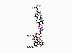 CCC(C/C=C(\C)[C@@H]1CCC2C3CC=C4C[C@H](OC(=O)NCCC(O)CCOC(c5ccccc5)(c5ccc(OC)cc5)c5ccc(OC)cc5)CC[C@@]4(C)C3CC[C@]21C)C(C)C